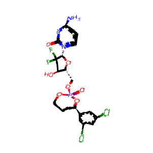 Nc1ccn([C@@H]2O[C@H](CO[P@]3(=O)OCC[C@H](c4cc(Cl)cc(Cl)c4)O3)[C@@H](O)C2(F)F)c(=O)n1